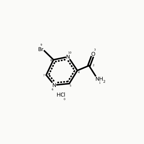 Cl.NC(=O)c1cncc(Br)n1